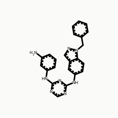 Nc1cccc(Nc2ncnc(Nc3ccc4c(cnn4Cc4ccccc4)c3)n2)c1